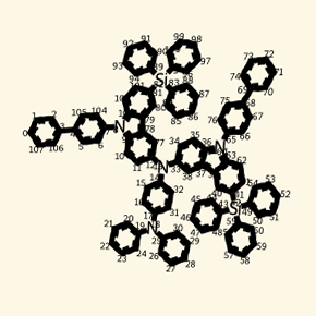 c1ccc(-c2ccc(-n3c4ccc(N(c5ccc(N(c6ccccc6)c6ccccc6)cc5)c5ccc6c(c5)c5cc([Si](c7ccccc7)(c7ccccc7)c7ccccc7)ccc5n6-c5ccc(-c6ccccc6)cc5)cc4c4cc([Si](c5ccccc5)(c5ccccc5)c5ccccc5)ccc43)cc2)cc1